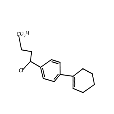 O=C(O)CCC(Cl)c1ccc(C2=CCCCC2)cc1